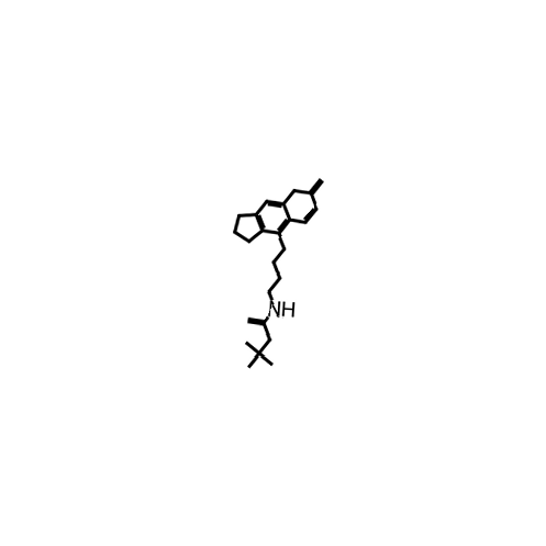 C=C1C=Cc2c(cc3c(c2CCCCNC(=C)CC(C)(C)C)CCC3)C1